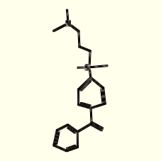 C=C(c1ccccc1)c1ccc([Si](C)(C)CCCN(C)C)cc1